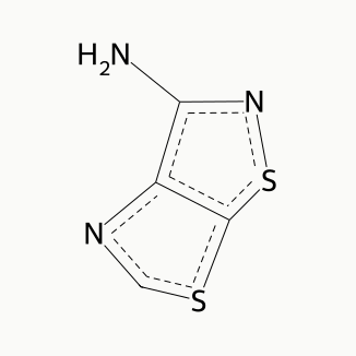 Nc1nsc2scnc12